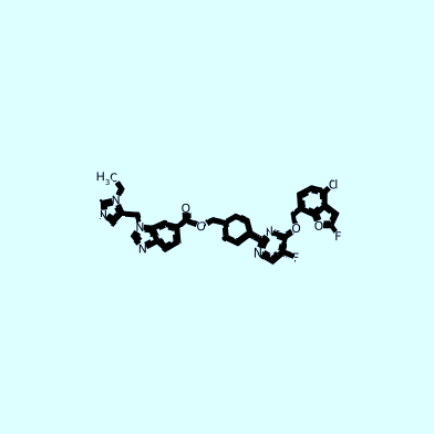 CCn1cncc1Cn1cnc2ccc(C(=O)OCC3CC=C(c4ncc(F)c(OCc5ccc(Cl)c6cc(F)oc56)n4)CC3)cc21